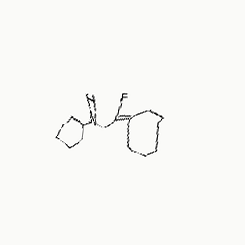 FC(CNC1CCCCC1)=C1CCCCC1